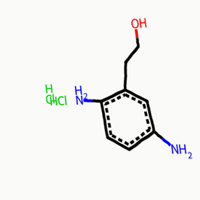 Cl.Cl.Nc1ccc(N)c(CCO)c1